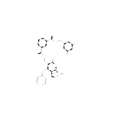 Bc1cc(CNC(=O)c2cccc(C(=O)NCc3c(CC)nc4c(cnn4CC)c3NC3CCOCC3)c2)cc(OC)c1